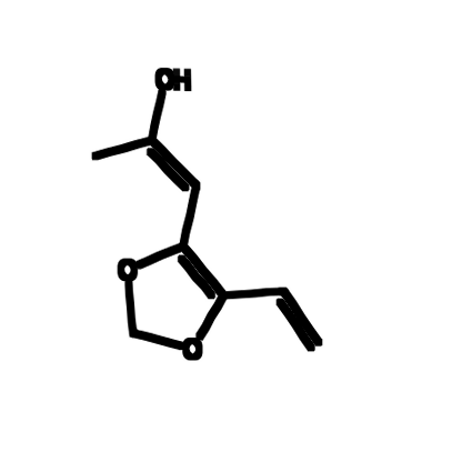 C=CC1=C(/C=C(\C)O)OCO1